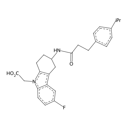 CC(C)c1ccc(CCC(=O)NC2CCc3c(c4cc(F)ccc4n3CC(=O)O)C2)cc1